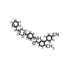 Cc1ccc(C(=O)Nc2ccc(N3CCN(Cc4ccccn4)CC3)nc2)cc1-c1ccc(C#N)cc1